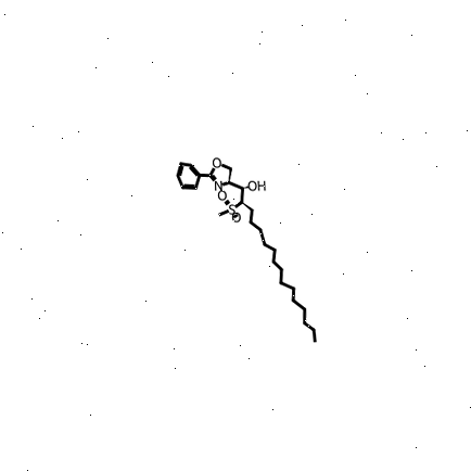 CCCCCCCCCCCCCC[C@H]([C@@H](O)[C@@H]1COC(c2ccccc2)=N1)S(C)(=O)=O